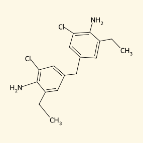 CCc1cc(Cc2cc(Cl)c(N)c(CC)c2)cc(Cl)c1N